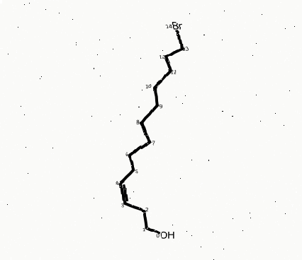 OCC/C=C\CCCCCCCCCBr